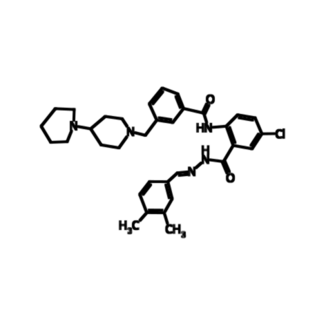 Cc1ccc(C=NNC(=O)c2cc(Cl)ccc2NC(=O)c2cccc(CN3CCC(N4CCCCC4)CC3)c2)cc1C